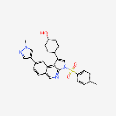 Cc1ccc(S(=O)(=O)n2cc(C3CCC(O)CC3)c3c4cc(-c5cnn(C)c5)ccc4cnc32)cc1